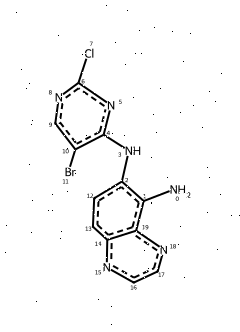 Nc1c(Nc2nc(Cl)ncc2Br)ccc2nccnc12